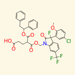 COc1ccc(Cl)cc1C1(F)C(=O)N(COC(=O)C(CCC(=O)O)C(=O)OC(Cc2ccccc2)c2ccccc2)c2cc(C(F)(F)F)ccc21